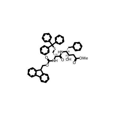 COC(=O)C[C@H](O)[C@@H](Cc1ccccc1)NC(=O)[C@@H](CSC(c1ccccc1)(c1ccccc1)c1ccccc1)NC(=O)OCC1c2ccccc2-c2ccccc21